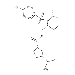 CCCCN(CC)C1CCN(C(=O)OC[C@H]2CCC[C@@H](C)N2S(=O)(=O)c2ccc(Cl)cc2)C1